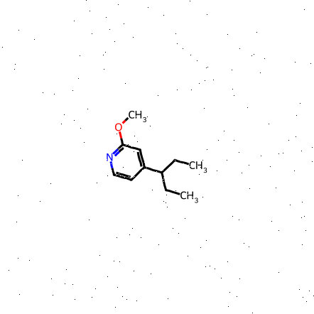 CCC(CC)c1ccnc(OC)c1